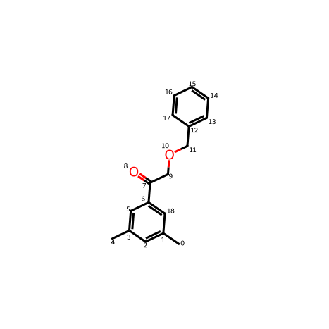 Cc1cc(C)cc(C(=O)COCc2ccccc2)c1